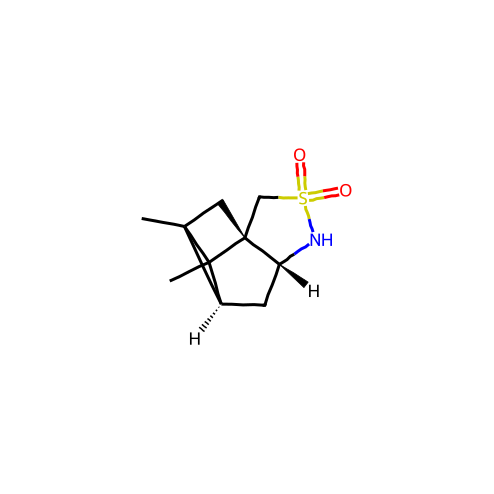 CC12C[C@@]34CS(=O)(=O)N[C@@H]3C[C@@H]1C24C